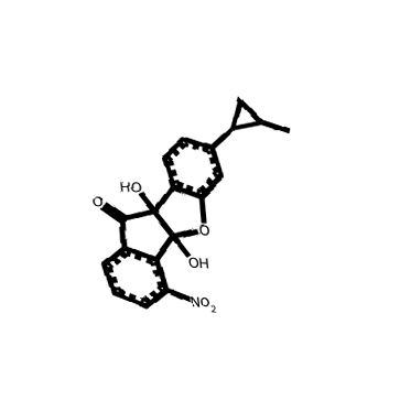 CC1CC1c1ccc2c(c1)OC1(O)c3c(cccc3[N+](=O)[O-])C(=O)C21O